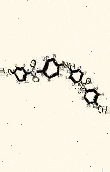 Cc1ccc(S(=O)(=O)c2ccc(Nc3ccc(S(=O)(=O)c4ccc(C)cc4)cc3)cc2)cc1